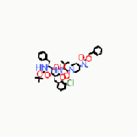 CC(C)[C@H](NC(=O)[C@@H](Cc1cccc(Cl)c1)C[C@@H](O)[C@H](Cc1ccccc1)NC(=O)OC(C)(C)C)C(=O)N1CCC(N(C)C(=O)OCc2ccccc2)CC1